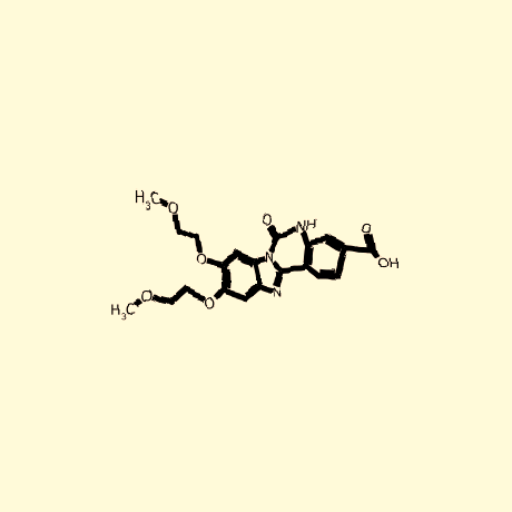 COCCOc1cc2nc3c4ccc(C(=O)O)cc4[nH]c(=O)n3c2cc1OCCOC